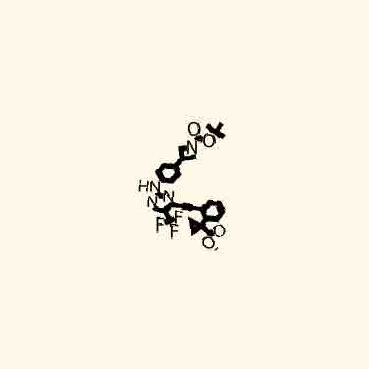 COC(=O)C1(c2ccccc2C#Cc2nc(Nc3ccc(C4CN(C(=O)OC(C)(C)C)C4)cc3)ncc2C(F)(F)F)CC1